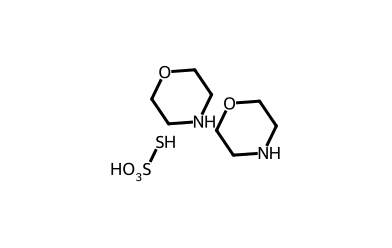 C1COCCN1.C1COCCN1.O=S(=O)(O)S